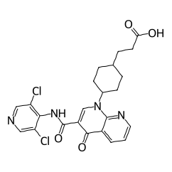 O=C(O)CCC1CCC(n2cc(C(=O)Nc3c(Cl)cncc3Cl)c(=O)c3cccnc32)CC1